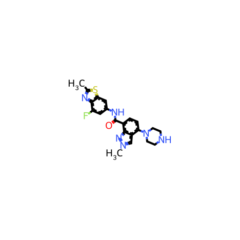 Cc1nc2c(F)cc(NC(=O)c3ccc(N4CCNCC4)c4cn(C)nc34)cc2s1